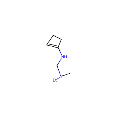 CCN(C)CNC1=CCC1